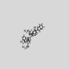 COCCN(CCCNC(=O)[C@H](CC(C)C)NC(=O)c1cc2ccccc2s1)S(=O)(=O)c1ccccc1N